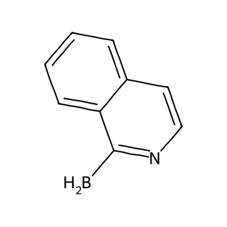 Bc1nccc2ccccc12